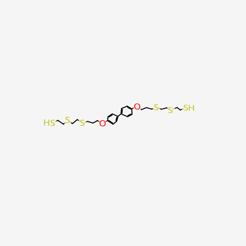 SCCSCCSCCCOc1ccc(-c2ccc(OCCCSCCSCCS)cc2)cc1